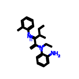 C=C(/C(=N/c1ccccc1C)C(C)CC)N(CC)c1ccccc1N